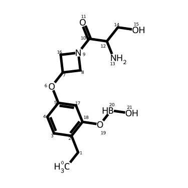 CCc1ccc(OC2CN(C(=O)C(N)CO)C2)cc1OBO